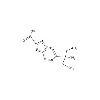 CCC(N)(CC)c1ccc2cc(C(=O)O)oc2c1